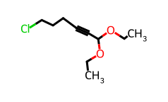 CCOC(C#CCCCCl)OCC